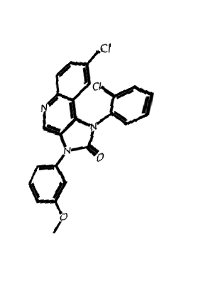 COc1cccc(-n2c(=O)n(-c3ccccc3Cl)c3c4cc(Cl)ccc4ncc32)c1